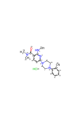 CCCNc1nc(N2CCN(c3ccccc3C#N)CC2)ccc1C(=O)N(C)C.Cl